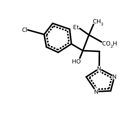 CCC(C)(C(=O)O)C(O)(Cn1cncn1)c1ccc(Cl)cc1